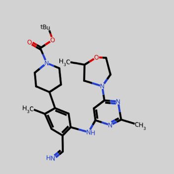 Cc1nc(Nc2cc(C3CCN(C(=O)OC(C)(C)C)CC3)c(C)cc2C=N)cc(N2CCOC(C)C2)n1